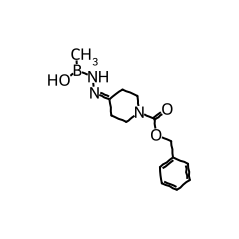 CB(O)NN=C1CCN(C(=O)OCc2ccccc2)CC1